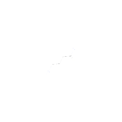 [NH]C(=S)CCCN